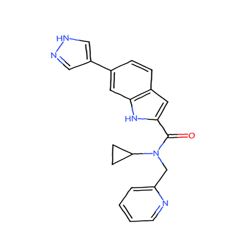 O=C(c1cc2ccc(-c3cn[nH]c3)cc2[nH]1)N(Cc1ccccn1)C1CC1